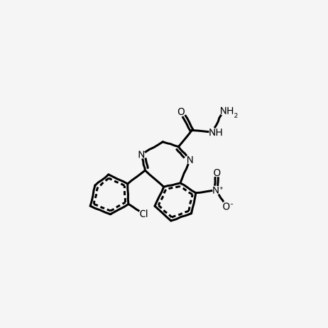 NNC(=O)C1=Nc2c(cccc2[N+](=O)[O-])C(c2ccccc2Cl)=NC1